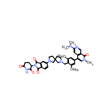 COc1cc(-c2cn(C)c(=O)c3cnc(N(C)C)cc23)cc(OC)c1CN1CCC2(CCN(c3ccc4c(c3)C(=O)N(C3CCC(=O)NC3=O)C4=O)C2)C1